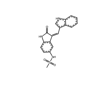 CS(=O)(=O)Nc1ccc2c(c1)C(=Cc1c[nH]c3ccccc13)C(=O)N2